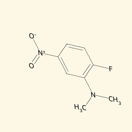 CN(C)c1cc([N+](=O)[O-])ccc1F